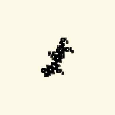 CC(NCCC(F)(F)F)NC(=O)c1ccc(/C(F)=C/C(c2ccc(Cl)c(Br)c2)C(F)(F)F)cc1C(F)(F)F